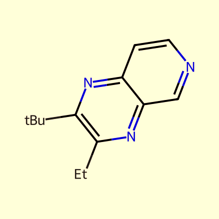 CCc1nc2cnccc2nc1C(C)(C)C